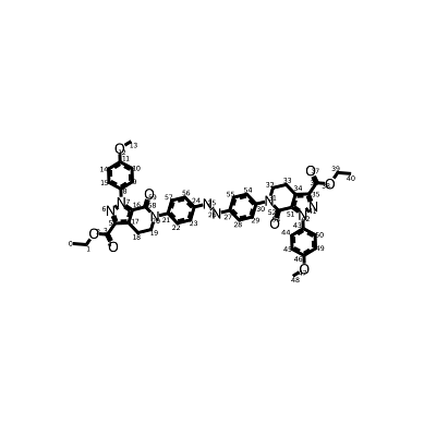 CCOC(=O)c1nn(-c2ccc(OC)cc2)c2c1CCN(c1ccc(N=Nc3ccc(N4CCc5c(C(=O)OCC)nn(-c6ccc(OC)cc6)c5C4=O)cc3)cc1)C2=O